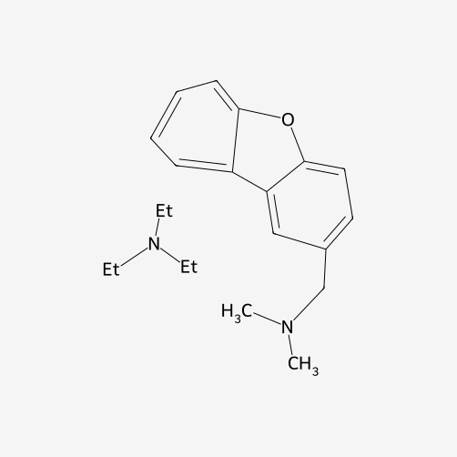 CCN(CC)CC.CN(C)Cc1ccc2oc3ccccc3c2c1